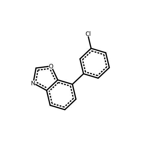 Clc1cccc(-c2cccc3ncoc23)c1